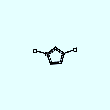 Clc1[c]n(Cl)cc1